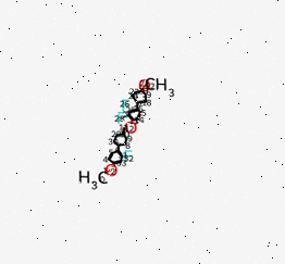 CCOc1ccc(C2CCC(COc3ccc(C4CCC(OC)CC4)c(F)c3F)CC2)c(F)c1